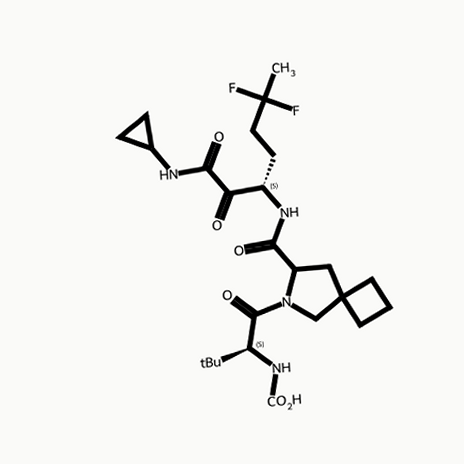 CC(F)(F)CC[C@H](NC(=O)C1CC2(CCC2)CN1C(=O)[C@@H](NC(=O)O)C(C)(C)C)C(=O)C(=O)NC1CC1